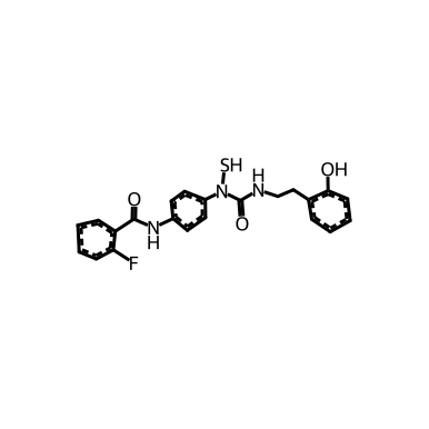 O=C(Nc1ccc(N(S)C(=O)NCCc2ccccc2O)cc1)c1ccccc1F